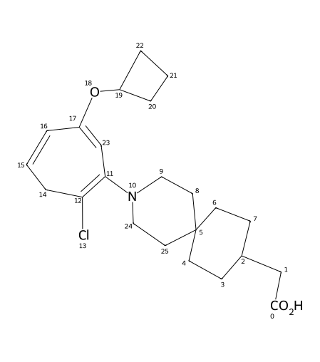 O=C(O)CC1CCC2(CC1)CCN(C1=C(Cl)CC=CC(OC3CCC3)=C1)CC2